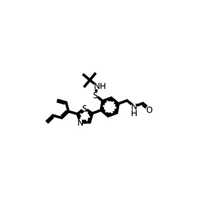 C=C/C=C(\C=C)c1ncc(-c2ccc(CNC=O)cc2SNC(C)(C)C)s1